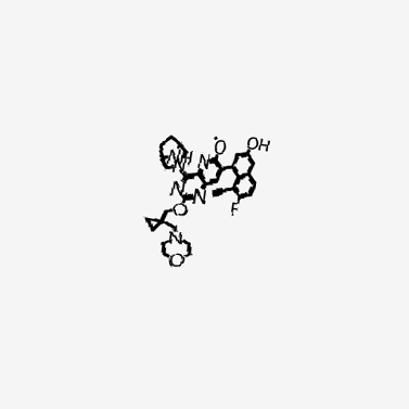 C#Cc1c(F)ccc2cc(O)cc(-c3cc4nc(OCC5(CN6CCOCC6)CC5)nc(N5CC6CCC(C5)N6)c4nc3OC)c12